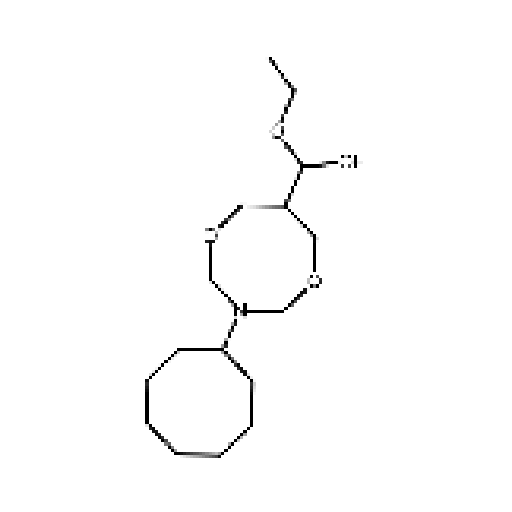 CCOC(O)C1COCN(C2CCCCCCC2)COC1